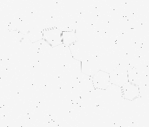 CNS(=O)(=O)Cc1ccc2[nH]cc(CCCN3CCN(c4ncncc4OC)C(C)C3)c2c1